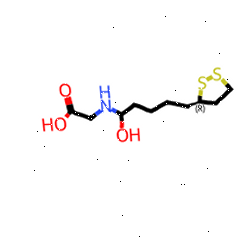 O=C(O)CNC(O)CCCC[C@@H]1CCSS1